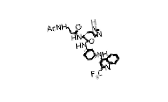 CC(=O)NCCC(=O)N[C@H](Cc1cnc[nH]1)C(=O)N[C@@H]1CCC[C@H](Nc2cc(C(F)(F)F)nc3ccccc23)C1